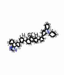 CC1(C)c2cc(-c3cccc(-c4ccc5c(c4)c4ccccc4c4nccnc54)c3)ccc2-c2ccc(-c3cccc(C4CC=C5c6ccccc6N(C6=CC=CCC=C6)C5C4)c3)cc21